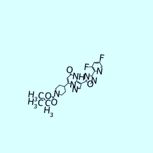 CC(C)(C)OC(=O)N1CCC(c2cc(=O)[nH]c3c(-c4nc(-c5ncc(F)cc5F)no4)cnn23)CC1